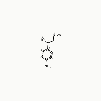 CCCCCCCC(O)c1ccc(N)cc1